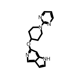 c1cnc(N2CCC(Oc3cc4[nH]ccc4cn3)CC2)nc1